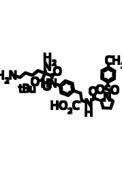 Cc1ccc(S(=O)(=O)N2CCC[C@H]2C(=O)N[C@@H](Cc2ccc(NC(=O)[C@@](N)(CCCCN)C(=O)OC(C)(C)C)cc2)C(=O)O)cc1